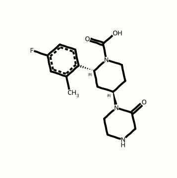 Cc1cc(F)ccc1[C@H]1C[C@H](N2CCNCC2=O)CCN1C(=O)O